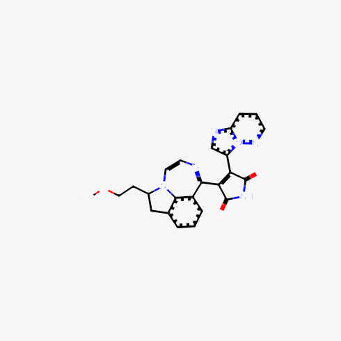 COCCC1Cc2cccc3c2N1C=CN=C3C1=C(c2cnc3cccnn23)C(=O)NC1=O